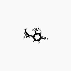 COc1cc(F)ccc1C1OC1C